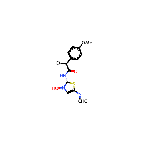 CCC(C(=O)N[C@@H]1SC(NC=O)=CN1O)c1ccc(OC)cc1